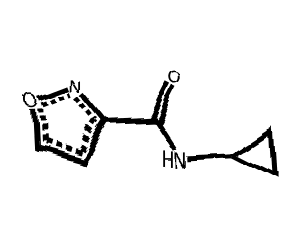 O=C(NC1CC1)c1ccon1